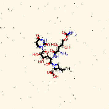 C/C=C1\CN(C(=O)[C@@H](NC(=O)[C@@H](N)[C@H](O)[C@@H](O)COC(N)=O)[C@H]2O[C@@H](n3ccc(=O)[nH]c3=O)[C@H](O)[C@@H]2O)[C@@H]1C(=O)O